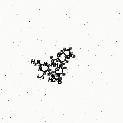 CCc1nc(N)nc(NC(C)c2nc3ccn(C)c3cc2N2CCN(C(=O)O)CC2)c1C#N